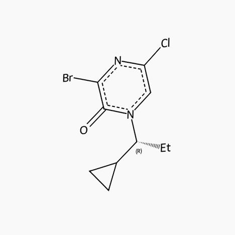 CC[C@H](C1CC1)n1cc(Cl)nc(Br)c1=O